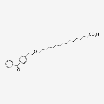 O=C(O)CCCCCCCCCCCCCCCOCCc1ccc(C(=O)c2ccccc2)cc1